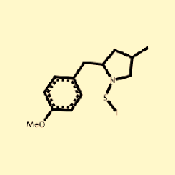 COc1ccc(CC2CC(C)CN2SI)cc1